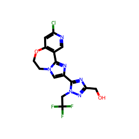 OCc1nc(-c2cn3c(n2)-c2cnc(Cl)cc2OCC3)n(CC(F)(F)F)n1